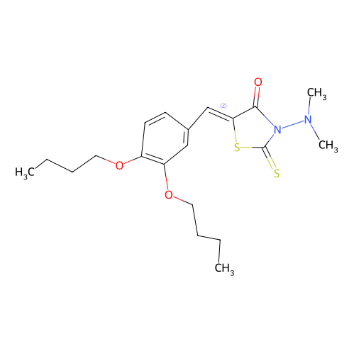 CCCCOc1ccc(/C=C2\SC(=S)N(N(C)C)C2=O)cc1OCCCC